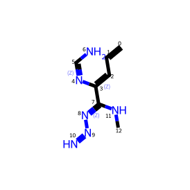 C=C/C=C(\N=C/N)C(=N/N=N)/NC